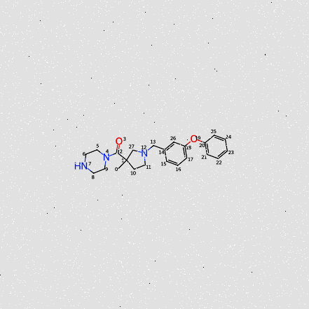 CC1(C(=O)N2CCNCC2)CCN(Cc2cccc(Oc3ccccc3)c2)C1